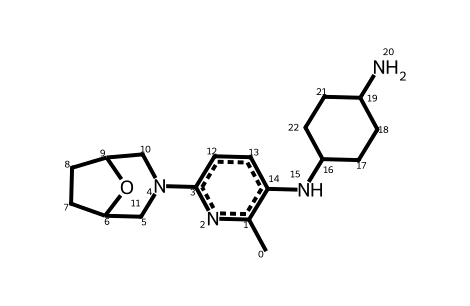 Cc1nc(N2CC3CCC(C2)O3)ccc1NC1CCC(N)CC1